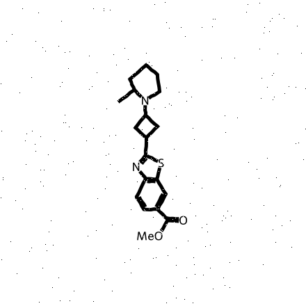 COC(=O)c1ccc2nc(C3CC(N4CCCCC4C)C3)sc2c1